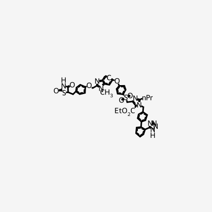 CCCc1nc(CS(=O)(=O)c2ccc(Oc3ccc4nc(COc5ccc(CC6SC(=O)NC6=O)cc5)n(C)c4c3)cc2)c(C(=O)OCC)n1Cc1ccc(-c2ccccc2-c2nnn[nH]2)cc1